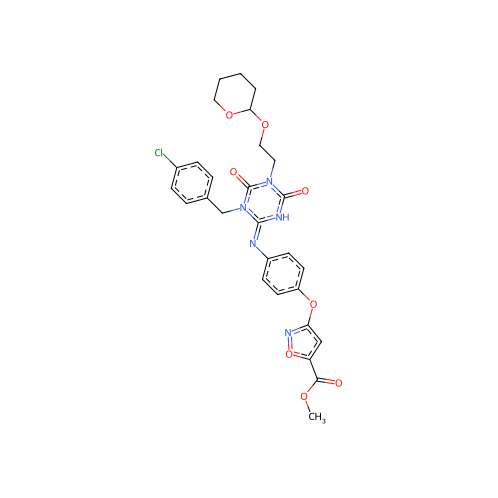 COC(=O)c1cc(Oc2ccc(/N=c3\[nH]c(=O)n(CCOC4CCCCO4)c(=O)n3Cc3ccc(Cl)cc3)cc2)no1